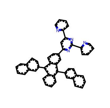 c1ccc(-c2cc(-c3ccc4c(-c5ccc6ccccc6c5)c5ccccc5c(-c5ccc6ccccc6c5)c4c3)nc(-c3ccccn3)n2)nc1